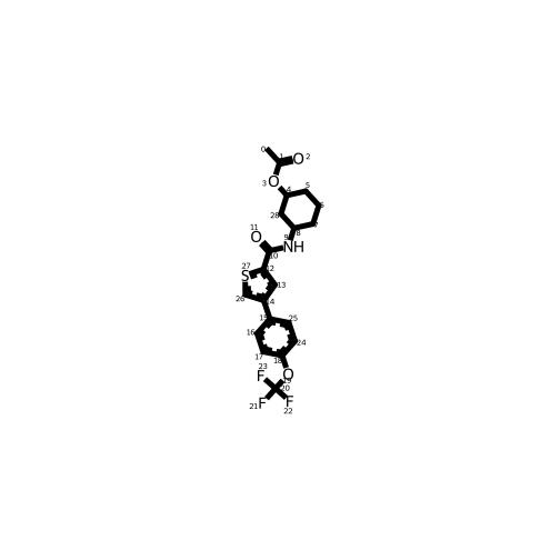 CC(=O)OC1CCCC(NC(=O)c2cc(-c3ccc(OC(F)(F)F)cc3)cs2)C1